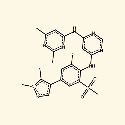 Cc1cc(Nc2cc(Nc3c(F)cc(-c4cnn(C)c4C)cc3S(C)(=O)=O)ncn2)nc(C)n1